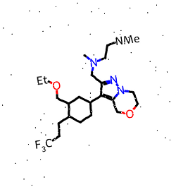 CCOCC1CC(c2c(CN(C)CCNC)nn3c2COCC3)CCC1CCC(F)(F)F